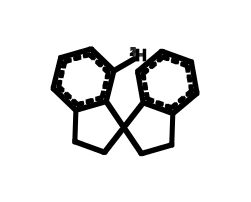 [2H]c1cccc2c1C1(CCc3ccccc31)CC2